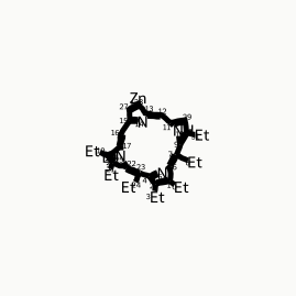 CCC1=C(CC)c2nc1c(CC)c1[nH]c(cc3nc(cc4c(CC)c(CC)c(c2CC)n4CC)C=C3)cc1CC.[Zn]